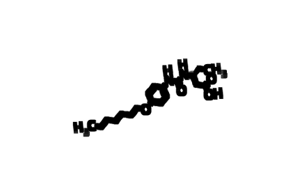 CCCCCCCOc1ccc(NC(=O)N[C@@H](CC)CC(=O)O)cc1